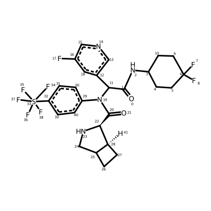 O=C(NC1CCC(F)(F)CC1)C(c1cncc(F)c1)N(C(=O)[C@@H]1NCC2CC[C@@H]21)c1ccc(S(F)(F)(F)(F)F)cc1